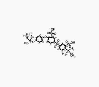 CCC(C)(CC)Oc1ccc(Oc2ccc(S(=O)(=O)c3ccc(C(C)(C)CC)c(S(=O)(=O)O)c3)cc2S(=O)(=O)O)cc1